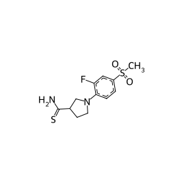 CS(=O)(=O)c1ccc(N2CCC(C(N)=S)C2)c(F)c1